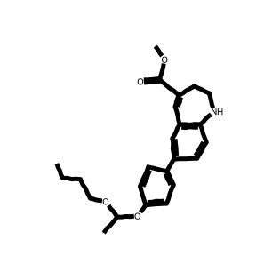 CCCCOC(C)Oc1ccc(-c2ccc3c(c2)C=C(C(=O)OC)CCN3)cc1